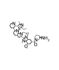 CCc1nc(C)c(-c2ncccc2-c2ccc3cc(-c4nc5cc(C(=O)N6CCC[C@@H](N)C6)cc(OC)c5n4C)n(CC4CC4)c3n2)s1